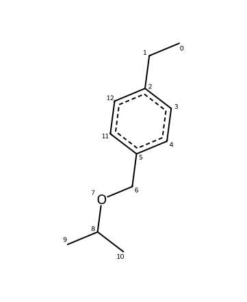 CCc1ccc(COC(C)C)cc1